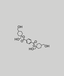 O=C(OC1(CO)CCC(CO)CC1)c1ccc(C(=O)OC2(CO)CCC(CO)CC2)cc1